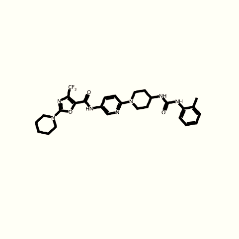 Cc1ccccc1NC(=O)NC1CCN(c2ccc(NC(=O)c3oc(N4CCCCC4)nc3C(F)(F)F)cn2)CC1